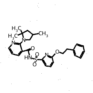 CC1CN(c2ncccc2C(=O)NS(=O)(=O)c2cccc(OCCc3ccccc3)n2)C(C)(C)C1